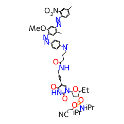 CCC1OC(n2cc(C#CCNC(=O)CCCN(C)c3ccc(/N=N\c4cc(C)c(/N=N/c5ccc(C)cc5[N+](=O)[O-])cc4OC)cc3)c(=O)[nH]c2=O)CC1OP(OCCC#N)N(C(C)C)C(C)C